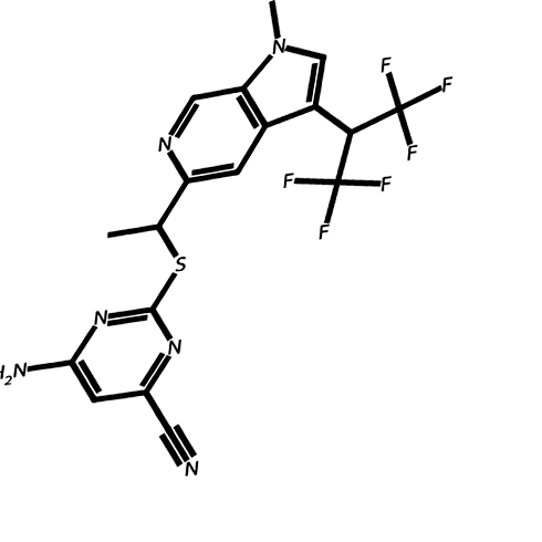 CC(Sc1nc(N)cc(C#N)n1)c1cc2c(C(C(F)(F)F)C(F)(F)F)cn(C)c2cn1